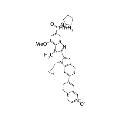 COc1cc(C(=O)N2CC3CCC2[C@@H]3N)cc2nc(-c3cc4ccc(-c5ccc6cc[n+]([O-])cc6c5)cc4n3CC3CC3)n(C)c12